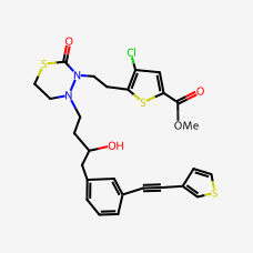 COC(=O)c1cc(Cl)c(CCN2C(=O)SCCN2CCC(O)Cc2cccc(C#Cc3ccsc3)c2)s1